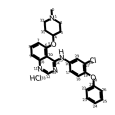 CN1CCC(Oc2cccc3ncnc(Nc4ccc(Oc5ccccc5)c(Cl)c4)c23)CC1.Cl